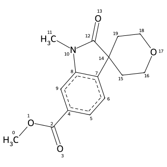 COC(=O)c1ccc2c(c1)N(C)C(=O)C21CCOCC1